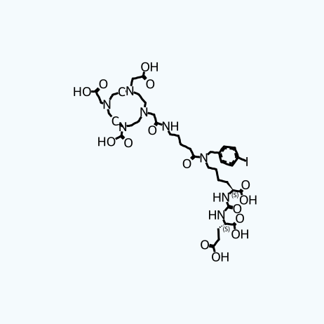 O=C(O)CC[C@H](NC(=O)N[C@@H](CCCCN(Cc1ccc(I)cc1)C(=O)CCCCNC(=O)CN1CCN(CC(=O)O)CCN(CC(=O)O)CCN(C(=O)O)CC1)C(=O)O)C(=O)O